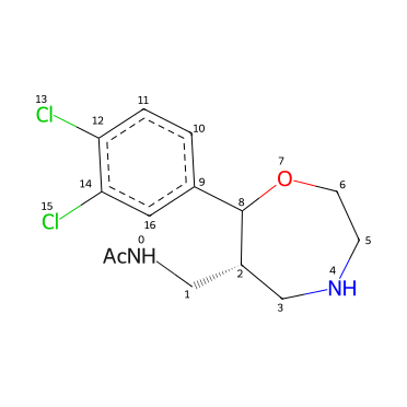 CC(=O)NC[C@H]1CNCCOC1c1ccc(Cl)c(Cl)c1